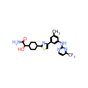 Cc1cc(Nc2nccc(C(F)(F)F)n2)cc(-c2csc(C3CCC(C(O)C(N)=O)CC3)n2)c1